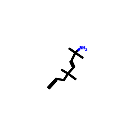 C=CCC(C)(C)C=CC(C)(C)N